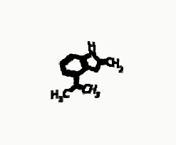 C=C1Cc2c(cccc2C(C)C)N1